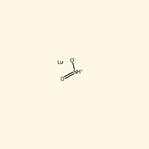 O=[NH+][O-].[Lu]